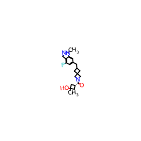 Cn1ncc2c(F)cc(CC3CC4(C3)CN(C(=O)[C@H]3C[C@@](C)(O)C3)C4)cc21